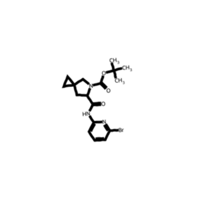 CC(C)(C)OC(=O)N1CC2(CC2)CC1C(=O)Nc1cccc(Br)n1